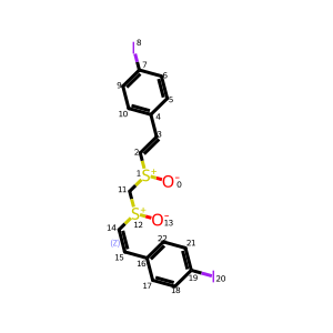 [O-][S+](C=Cc1ccc(I)cc1)C[S+]([O-])/C=C\c1ccc(I)cc1